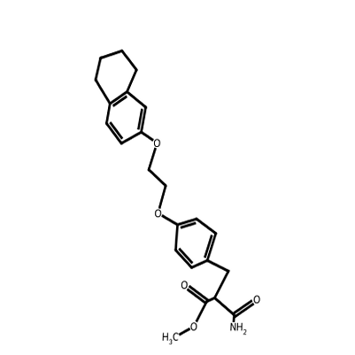 COC(=O)C(Cc1ccc(OCCOc2ccc3c(c2)CCCC3)cc1)C(N)=O